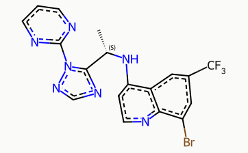 C[C@H](Nc1ccnc2c(Br)cc(C(F)(F)F)cc12)c1ncnn1-c1ncccn1